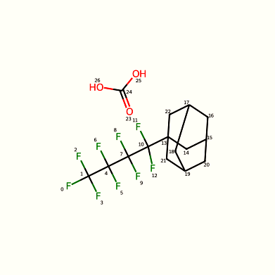 FC(F)(F)C(F)(F)C(F)(F)C(F)(F)C12CC3CC(CC(C3)C1)C2.O=C(O)O